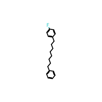 Fc1ccc(CCCCCCCCc2ccccc2)cc1